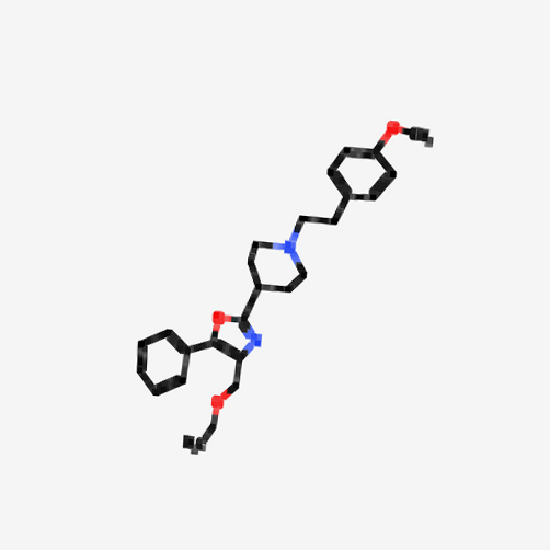 CCOCc1nc(C2CCN(CCc3ccc(OC)cc3)CC2)oc1-c1ccccc1